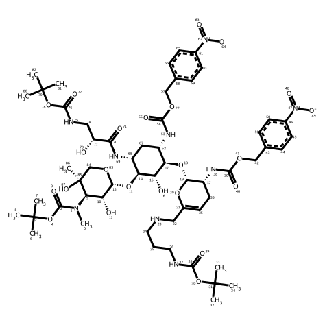 CN(C(=O)OC(C)(C)C)[C@@H]1[C@@H](O)[C@@H](O[C@@H]2[C@@H](O)[C@H](O[C@H]3OC(CNCCCNC(=O)OC(C)(C)C)=CC[C@H]3NC(=O)OCc3ccc([N+](=O)[O-])cc3)[C@@H](NC(=O)OCc3ccc([N+](=O)[O-])cc3)C[C@H]2NC(=O)[C@H](O)CNC(=O)OC(C)(C)C)OC[C@]1(C)O